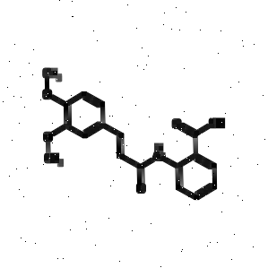 COc1ccc(C=CC(=O)[AsH]c2ccccc2C(=O)O)cc1OC